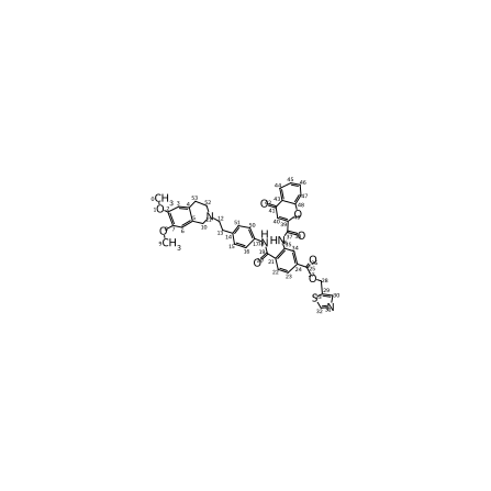 COc1cc2c(cc1OC)CN(CCc1ccc(NC(=O)c3ccc(C(=O)OCc4cncs4)cc3NC(=O)c3cc(=O)c4ccccc4o3)cc1)CC2